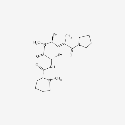 C/C(=C\[C@H](C(C)C)N(C)C(=O)[C@@H](NC(=O)[C@H]1CCCCN1C)C(C)C)C(=O)N1CCCC1